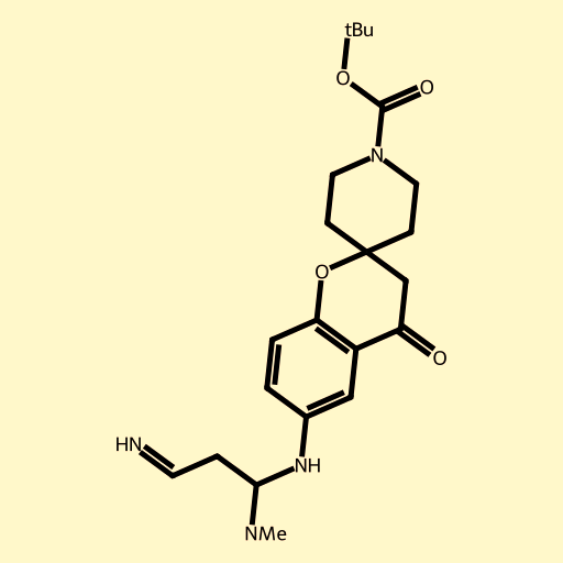 CNC(CC=N)Nc1ccc2c(c1)C(=O)CC1(CCN(C(=O)OC(C)(C)C)CC1)O2